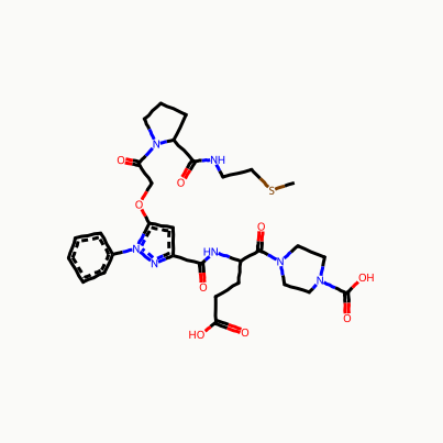 CSCCNC(=O)C1CCCN1C(=O)COc1cc(C(=O)NC(CCC(=O)O)C(=O)N2CCN(C(=O)O)CC2)nn1-c1ccccc1